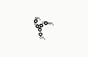 C[C@H]1CC[C@H](C2CCC(c3ccc(Oc4ccc(N)cc4)cc3)(c3ccc(Oc4ccc(N)cc4)cc3)CC2)CC1